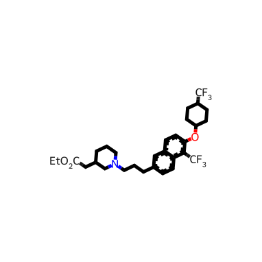 CCOC(=O)CC1CCCN(CCCc2ccc3c(C(F)(F)F)c(OC4CCC(C(F)(F)F)CC4)ccc3c2)C1